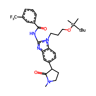 CN1CCC(c2ccc3c(c2)nc(NC(=O)c2cccc(C(F)(F)F)c2)n3CCCO[Si](C)(C)C(C)(C)C)C1=O